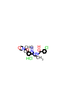 C[C@H](Cc1c[nH]c2c(O[C@@](C)(C=O)N3CCOCC3)cccc12)NC[C@H](O)c1cccc(Cl)c1.Cl